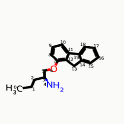 CCCC(N)COc1cccc2c1Cc1ccccc1-2